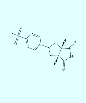 CS(=O)(=O)c1ccc(N2C[C@@H]3C(=O)NC(=O)[C@@H]3C2)cc1